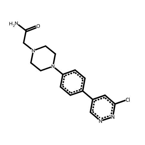 NC(=O)CN1CCN(c2ccc(-c3cnnc(Cl)c3)cc2)CC1